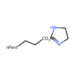 C1=NCCN1.CCCCCCCC(=O)O